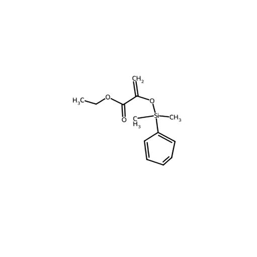 C=C(O[Si](C)(C)c1ccccc1)C(=O)OCC